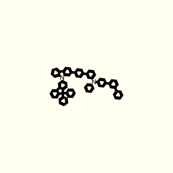 c1ccc(-c2cccc(-c3ccc(N(c4ccccc4)c4cccc(-c5ccc(-c6ccc7c8ccccc8n(-c8ccc9c(c8)-c8ccccc8C9(c8ccccc8)c8ccccc8)c7c6)cc5)c4)cc3)c2)cc1